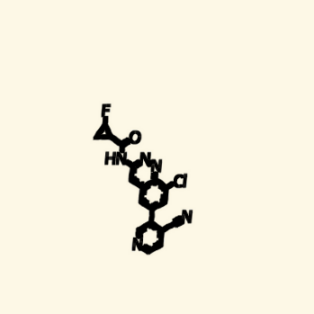 N#Cc1ccncc1-c1cc(Cl)c2nnc(NC(=O)C3CC3F)cc2c1